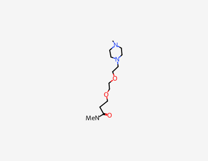 CNC(=O)CCOCCOCCN1CCN(C)CC1